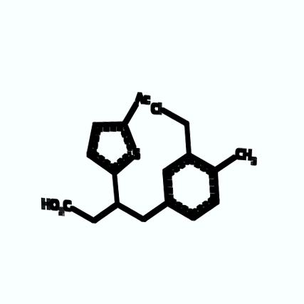 CC(=O)c1ccc(C(CC(=O)O)Cc2ccc(C)c(CCl)c2)s1